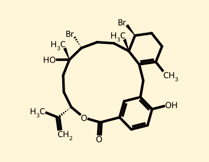 C=C(C)[C@@H]1CC[C@](C)(O)[C@H](Br)CC[C@@]2(C)C(=C(C)CC[C@@H]2Br)Cc2cc(ccc2O)C(=O)O1